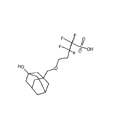 O=S(=O)(O)C(F)(F)C(F)(F)CCOCC12CC3CC(CC(O)(C3)C1)C2